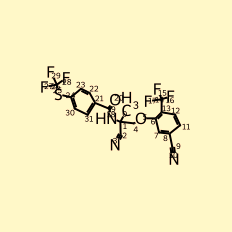 CC(C#N)(COc1cc(C#N)ccc1C(F)(F)F)NC(=O)c1ccc(SC(F)(F)F)cc1